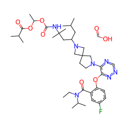 CCN(C(=O)c1cc(F)ccc1Oc1nncnc1N1CCC2(C1)CN(C(CC(C)C)CC(C)(C)NC(=O)OC(C)OC(=O)C(C)C)C2)C(C)C.O=CO